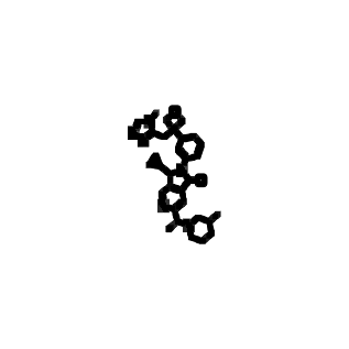 CC1CCCN([C@@H](C)c2cc3c(cn2)C(C2CC2)N(c2cccc(C4(Cc5nncn5C)COC4)c2)C3=O)C1